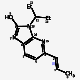 C/C=C/c1ccc2nc(O)n(C(CC)CC)c2n1